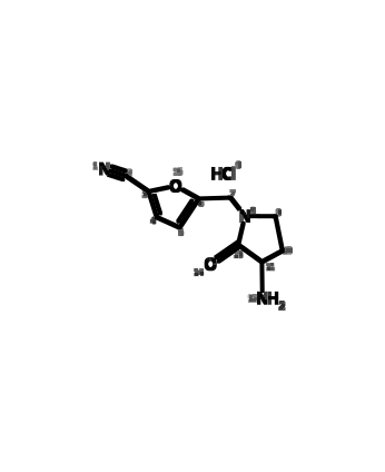 Cl.N#Cc1ccc(CN2CCC(N)C2=O)o1